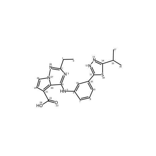 CCc1nc(Nc2cccc(-c3nnc(C(C)C)s3)c2)c2c(C(=O)O)ccn2n1